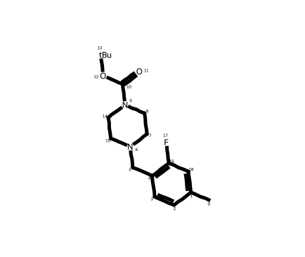 Cc1ccc(CN2CCN(C(=O)OC(C)(C)C)CC2)c(F)c1